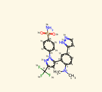 CN(C)c1ccc(-c2ccn[nH]2)cc1-c1cc(C(F)(F)F)nn1-c1ccc(S(N)(=O)=O)cc1